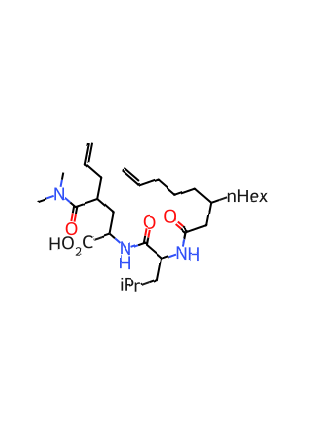 C=CCCCC(CCCCCC)CC(=O)NC(CC(C)C)C(=O)NC(CC(CC=C)C(=O)N(C)C)C(=O)O